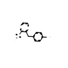 COc1ccc(Cc2nccnc2S(N)(=O)=O)cc1